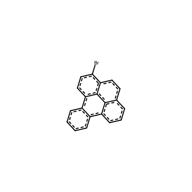 Brc1ccc2c3ccccc3c3cccc4ccc1c2c43